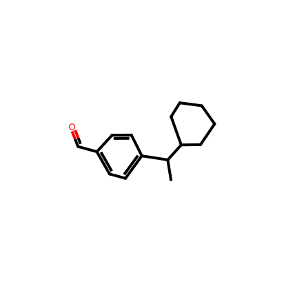 CC(c1ccc(C=O)cc1)C1CCCCC1